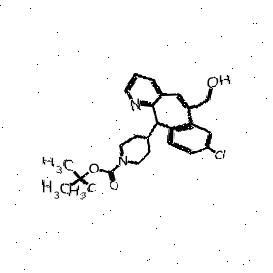 CC(C)(C)OC(=O)N1CCC(C2c3ccc(Cl)cc3C(CO)=Cc3cccnc32)CC1